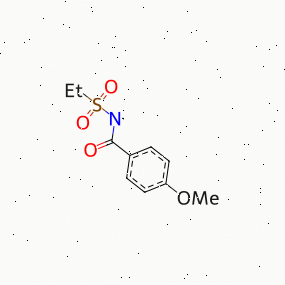 CCS(=O)(=O)[N]C(=O)c1ccc(OC)cc1